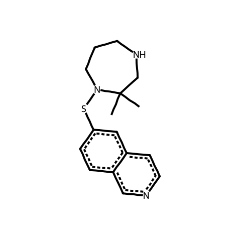 CC1(C)CNCCCN1Sc1ccc2cnccc2c1